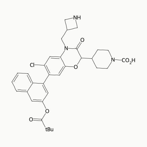 CC(C)(C)C(=O)Oc1cc(-c2cc3c(cc2Cl)N(CC2CNC2)C(=O)C(C2CCN(C(=O)O)CC2)O3)c2ccccc2c1